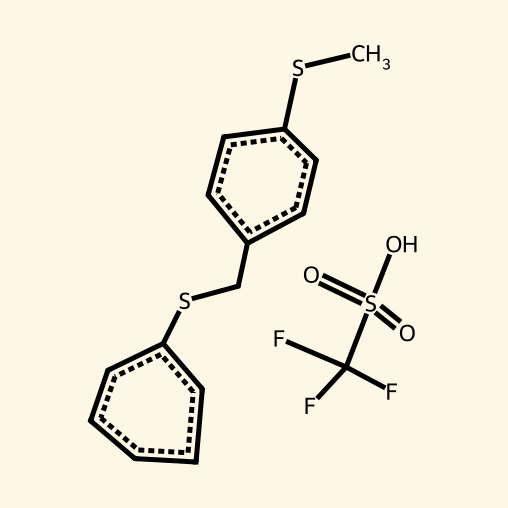 CSc1ccc(CSc2ccccc2)cc1.O=S(=O)(O)C(F)(F)F